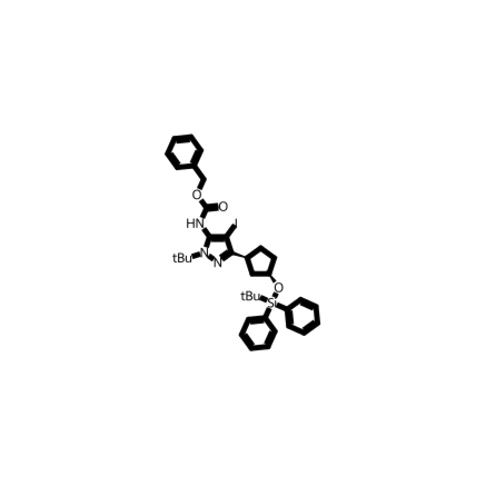 CC(C)(C)n1nc([C@H]2CC[C@@H](O[Si](c3ccccc3)(c3ccccc3)C(C)(C)C)C2)c(I)c1NC(=O)OCc1ccccc1